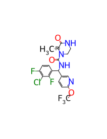 C[C@@H]1C(=O)NCCN1C(=O)NC(c1ccc(OC(F)(F)F)nc1)c1ccc(F)c(Cl)c1F